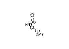 COC(=O)/C=C/c1ccc2[nH]c(C)c(C(=O)OCc3ccccc3)c2c1